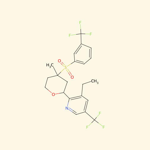 CCc1cc(C(F)(F)F)cnc1C1CC(C)(S(=O)(=O)c2cccc(C(F)(F)F)c2)CCO1